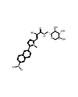 CCN(CC)c1ccc2cc(-c3ccc(/C=C(\C#N)C(=O)NC[C@H]4OC[C@H](O)[C@@H](O)[C@@H]4O)n3C)ccc2c1